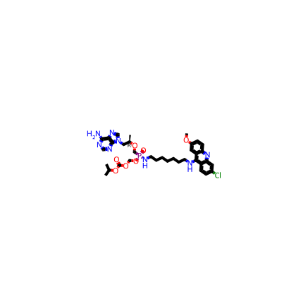 COc1ccc2nc3cc(Cl)ccc3c(NCCCCCCCNP(=O)(CO[C@H](C)Cn3cnc4c(N)ncnc43)OCOC(=O)OC(C)C)c2c1